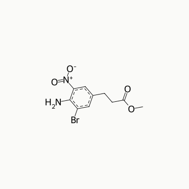 COC(=O)CCc1cc(Br)c(N)c([N+](=O)[O-])c1